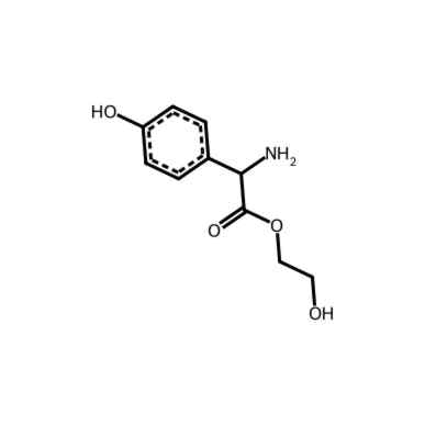 NC(C(=O)OCCO)c1ccc(O)cc1